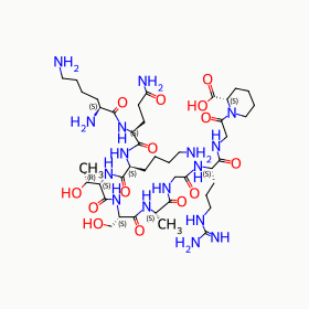 C[C@H](NC(=O)[C@H](CO)NC(=O)[C@@H](NC(=O)[C@H](CCCCN)NC(=O)[C@H](CCC(N)=O)NC(=O)[C@@H](N)CCCCN)[C@@H](C)O)C(=O)NCC(=O)N[C@@H](CCCNC(=N)N)C(=O)NCC(=O)N1CCCC[C@H]1C(=O)O